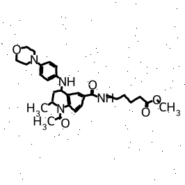 COC(=O)CCCCCNC(=O)c1ccc2c(c1)C(Nc1ccc(N3CCOCC3)cc1)CC(C)N2C(C)=O